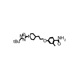 Cc1cc(OCCCC2CCN(c3nc(C(C)(C)C)no3)CC2)ccc1C(N)=O